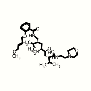 COCC=CCOc1ccccc1C(=O)NC[C@@H](C[C@H](N)[C@@H](O)C[C@H](C(=O)NCCN1CCOCC1)C(C)C)C(C)C